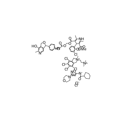 CCCC(=O)OCOC(=O)C1=C(C)NC(C)=C(C(=O)OC)C1c1cccc(Cl)c1Cl.C[N+](C)(C)CC[N+]1(C)Cc2c(Cl)c(Cl)c(Cl)c(Cl)c2C1.Cc1ncc2c(c1O)COC2c1ccc(Cl)cc1.O=C([N-]c1c[n+](N2CCOCC2)no1)C1CCCCC1.[Cl-].[Cl-]